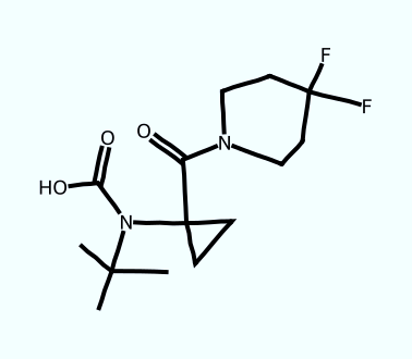 CC(C)(C)N(C(=O)O)C1(C(=O)N2CCC(F)(F)CC2)CC1